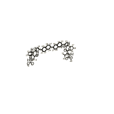 COC(=O)N[C@@H](C)C(=O)N1[C@@H]2CC[C@@H](C2)[C@H]1c1ncc(-c2ccc3cc(-c4ccc5cc(-c6cnc([C@@H]7CCCN7C(=O)[C@@H](NC(=O)OC)C(C)C)[nH]6)ccc5c4)ccc3c2)[nH]1